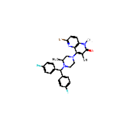 CC1CN(c2c(C#N)c(=O)n(C)c3ccc(Br)nc23)CCN1C(c1ccc(F)cc1)c1ccc(F)cc1